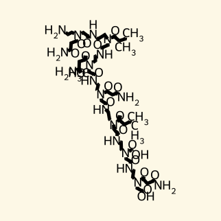 CCC(C)C(=O)N(CCNC(=O)CN(CCN)C(=O)CC(N)=O)CC(=O)NCCN(C(=O)CC(N)=O)[C@@H](C)C(=O)NCCN(CC(=O)NCCN(CC(=O)NCCN(CC(=O)NCCN(CC(=O)O)C(=O)CC(N)=O)C(=O)O)C(=O)CC(C)C)C(=O)CC(N)=O